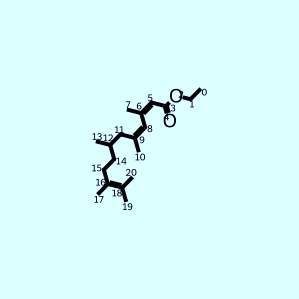 CCOC(=O)C=C(C)C=C(C)CC(C)CCC(C)=C(C)C